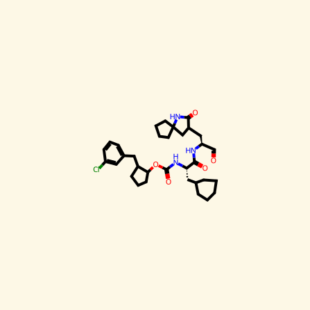 O=C[C@H](CC1CC2(CCCC2)NC1=O)NC(=O)[C@H](CC1CCCCC1)NC(=O)OC1CCCC1Cc1cccc(Cl)c1